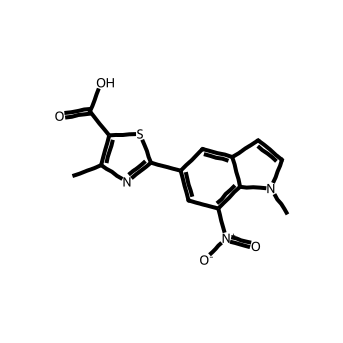 Cc1nc(-c2cc([N+](=O)[O-])c3c(ccn3C)c2)sc1C(=O)O